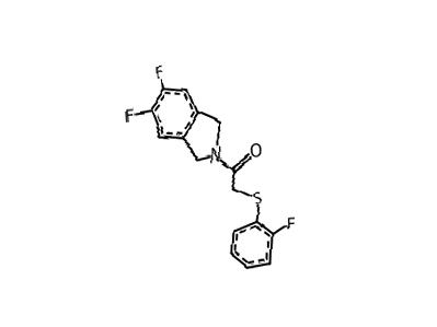 O=C(CSc1ccccc1F)N1Cc2cc(F)c(F)cc2C1